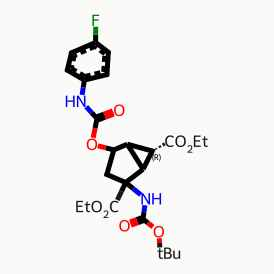 CCOC(=O)[C@H]1C2C(OC(=O)Nc3ccc(F)cc3)CC(NC(=O)OC(C)(C)C)(C(=O)OCC)C21